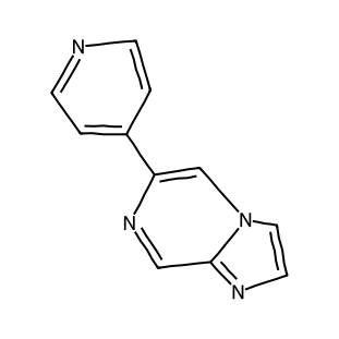 c1cc(-c2cn3ccnc3cn2)ccn1